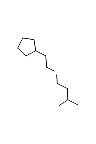 CC(C)CCNCCC1CCCC1